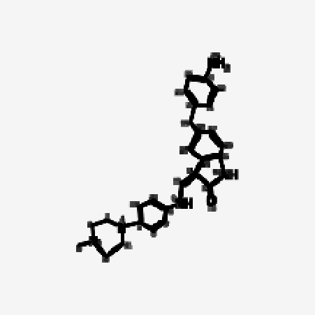 CN1CCN(c2ccc(NC=C3C(=O)Nc4ccc(Cc5ccc(N)cc5)cc43)cc2)CC1